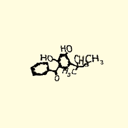 CCC(C)(C)c1cc(C(=O)c2ccccc2)c(O)cc1O